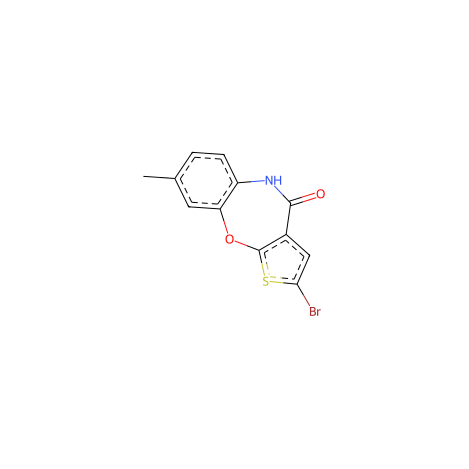 Cc1ccc2c(c1)Oc1sc(Br)cc1C(=O)N2